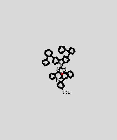 CC(C)(C)c1ccc2c(c1)c1ccccc1n2-c1ccccc1-c1nc(-c2ccccc2)nc(-n2c3ccc(-c4ccccc4-c4ccccc4)cc3c3cc(-c4ccccc4-c4ccccc4)ccc32)n1